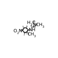 Cc1cc([N+](=O)[O-])ccc1NCCN(C)C